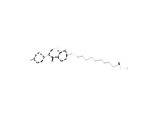 O=C(O)CCCCCCCCCOc1ccc2c(=O)c(-c3ccc(O)cc3)coc2c1